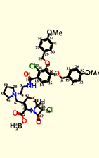 BOC(=O)C1=C(C[N+]2(CCNC(=O)c3ccc(OCc4ccc(OC)cc4)c(OCc4ccc(OC)cc4)c3Cl)CCCC2)CS[C@@H]2[C@H](Cl)C(=O)N12